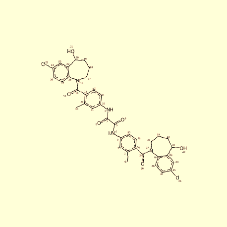 Cc1cc(NC(=O)C(=O)Nc2ccc(C(=O)N3CCCC(O)c4cc(Cl)ccc43)c(C)c2)ccc1C(=O)N1CCCC(O)c2cc(Cl)ccc21